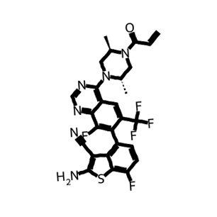 C=CC(=O)N1C[C@H](C)N(c2ncnc3c(F)c(-c4ccc(F)c5sc(N)c(C#N)c45)c(C(F)(F)F)cc23)C[C@H]1C